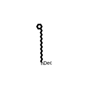 [CH2]CCCCCCCCCCCCCCCCCCCCCCCCCC1CCCCC1